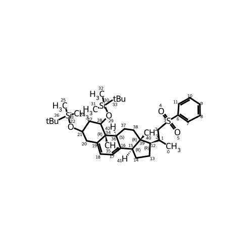 CC(CS(=O)(=O)c1ccccc1)[C@H]1CC[C@H]2C3=CC=C4CC(O[Si](C)(C)C(C)(C)C)CC(O[Si](C)(C)C(C)(C)C)[C@]4(C)[C@H]3CC[C@]12C